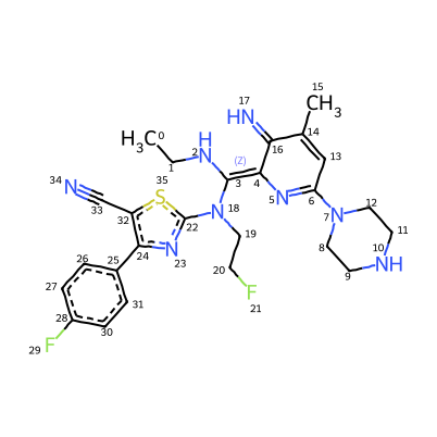 CCN/C(=C1/N=C(N2CCNCC2)C=C(C)C1=N)N(CCF)c1nc(-c2ccc(F)cc2)c(C#N)s1